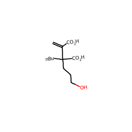 C=C(C(=O)O)C(CCCC)(CCCO)C(=O)O